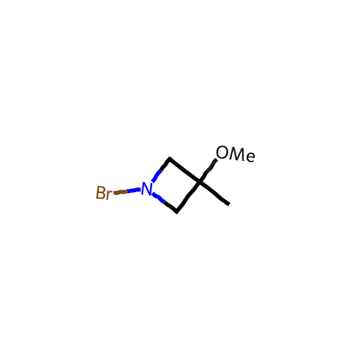 COC1(C)CN(Br)C1